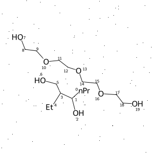 CCCC(O)C(CC)CO.OCCOCCOCCOCCO